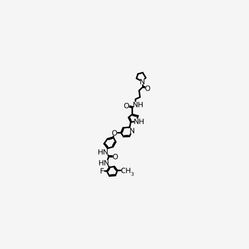 Cc1ccc(F)c(NC(=O)Nc2ccc(Oc3ccnc(-c4cc(C(=O)NCCCC(=O)N5CCCC5)c[nH]4)c3)cc2)c1